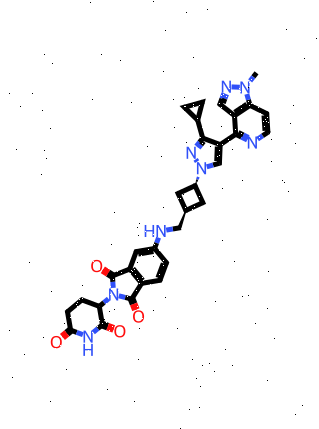 Cn1ncc2c(-c3cn([C@H]4C[C@H](CNc5ccc6c(c5)C(=O)N(C5CCC(=O)NC5=O)C6=O)C4)nc3C3CC3)nccc21